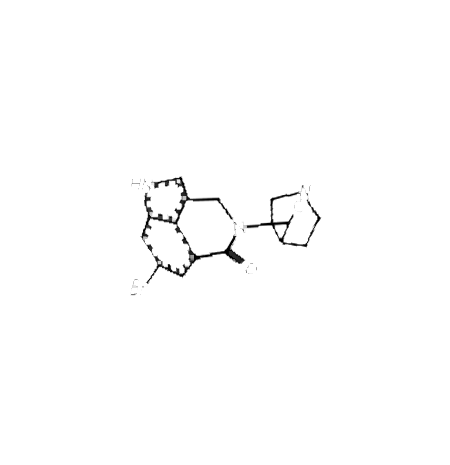 O=C1c2cc(Br)cc3[nH]cc(c23)CN1C1CN2CCC1CC2